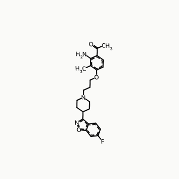 CC(=O)c1ccc(OCCCN2CCC(c3noc4cc(F)ccc34)CC2)c(C)c1N